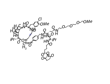 COCCOCCOCCOCCNC(=O)CC[C@H](NC(=O)[C@@H](NC(=O)CCCC(=O)ON1C(=O)CCC1=O)C(C)C)C(=O)NCc1ccc([C@H]2O[C@@H]2[C@@H](C)[C@@H]2C/C=C/C(=O)N[C@H](Cc3ccc(OC)c(Cl)c3)C(=O)N[C@@H](C)C(C)(C)C(=O)N[C@@H](CC(C)C)C(=O)O2)cc1